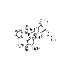 COc1cc(OCCO)c(F)c([C@@H](Nc2ccc(C(=N)N)cc2)c2nn(-c3ncccn3)c(=O)[nH]2)c1.Cl